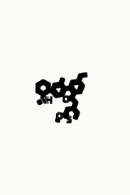 CCc1ccc(C(=O)CC(CC)CC(=S)OC)c(-c2ccccc2C)c1.CNC1CCCCC1